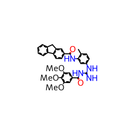 COc1cc(C(=O)NC(=N)Nc2ccc(C)c(NC(=O)c3ccc4c(c3)Cc3ccccc3-4)c2)cc(OC)c1OC